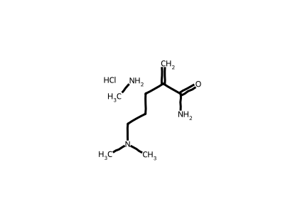 C=C(CCCN(C)C)C(N)=O.CN.Cl